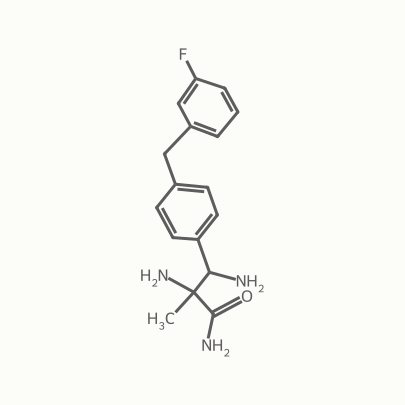 CC(N)(C(N)=O)C(N)c1ccc(Cc2cccc(F)c2)cc1